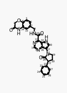 O=C1COc2ccc(CNC(=O)c3ncnc4c(N5CCC(c6ccccc6)C5=O)c[nH]c34)cc2N1